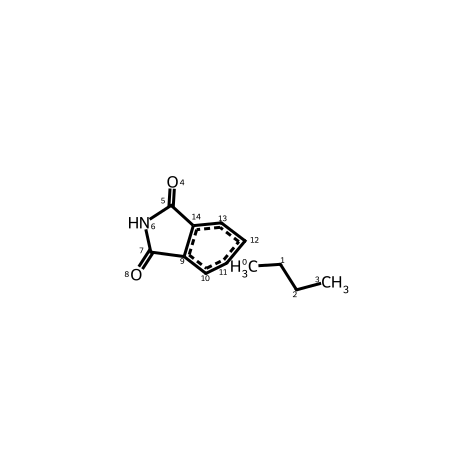 CCCC.O=C1NC(=O)c2ccccc21